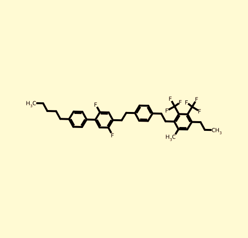 CCCCCc1ccc(-c2cc(F)c(CCc3ccc(CCc4c(C)cc(CCC)c(C(F)(F)F)c4C(F)(F)F)cc3)cc2F)cc1